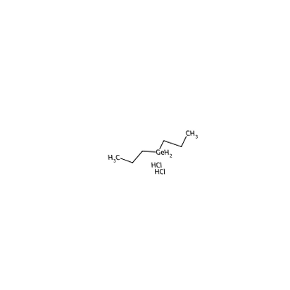 CC[CH2][GeH2][CH2]CC.Cl.Cl